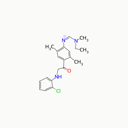 CCN(C)/C=N\c1cc(C)c(C(=O)CNc2ccccc2Cl)cc1C